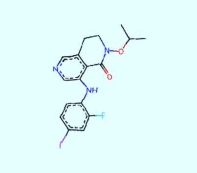 CC(C)ON1CCc2cncc(Nc3ccc(I)cc3F)c2C1=O